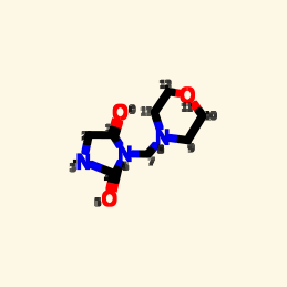 O=C1C[N]C(=O)N1CN1CCOCC1